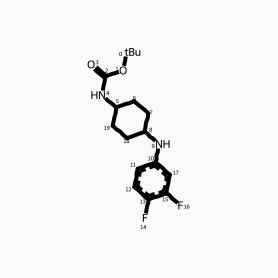 CC(C)(C)OC(=O)NC1CCC(Nc2ccc(F)c(F)c2)CC1